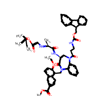 COC(=O)c1ccc2c(CN3C(=O)[C@@H](NC(=O)[C@H](C)NCC(=O)OC(C)(C)C)CN(C(=O)CCNC(=O)OCC4c5ccccc5-c5ccccc54)c4ccccc43)c(OC)ccc2c1